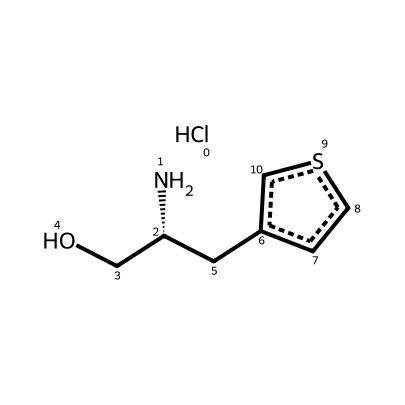 Cl.N[C@@H](CO)Cc1ccsc1